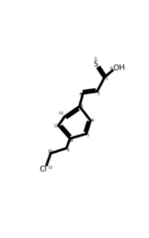 OC(=S)C=Cc1ccc(CCCl)cc1